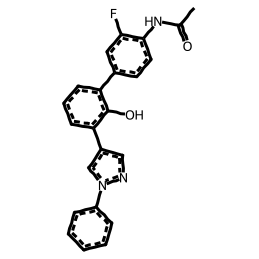 CC(=O)Nc1ccc(-c2cccc(-c3cnn(-c4ccccc4)c3)c2O)cc1F